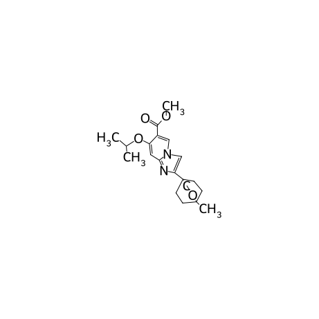 COC(=O)c1cn2cc(C34CCC(C)(CC3)OC4)nc2cc1OC(C)C